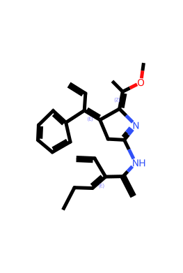 C=C/C(=C\CC)C(=C)NC1=NC(=C(/C)OC)/C(=C(\C=C)c2ccccc2)C1